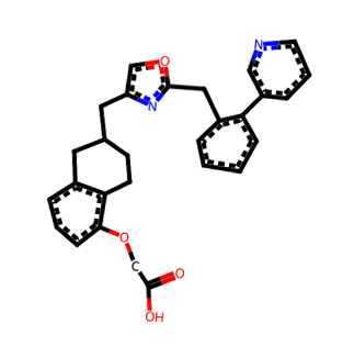 O=C(O)COc1cccc2c1CCC(Cc1coc(Cc3ccccc3-c3cccnc3)n1)C2